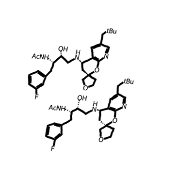 CC(=O)N[C@@H](Cc1cccc(F)c1)[C@H](O)CN[C@H]1C[C@@]2(CCOC2)Oc2ncc(CC(C)(C)C)cc21.CC(=O)N[C@@H](Cc1cccc(F)c1)[C@H](O)CN[C@H]1C[C@]2(CCOC2)Oc2ncc(CC(C)(C)C)cc21